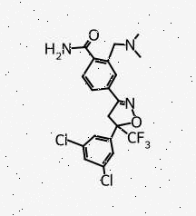 CN(C)Cc1cc(C2=NOC(c3cc(Cl)cc(Cl)c3)(C(F)(F)F)C2)ccc1C(N)=O